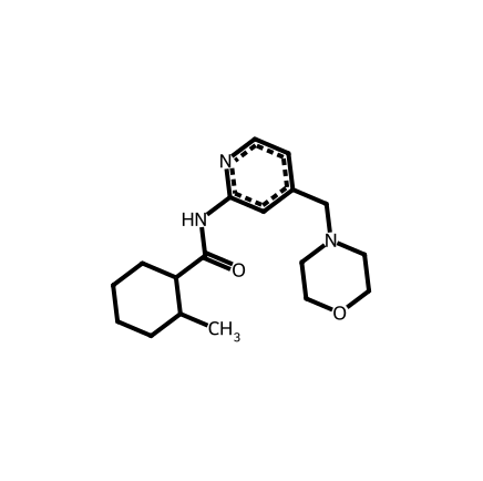 CC1CCCCC1C(=O)Nc1cc(CN2CCOCC2)ccn1